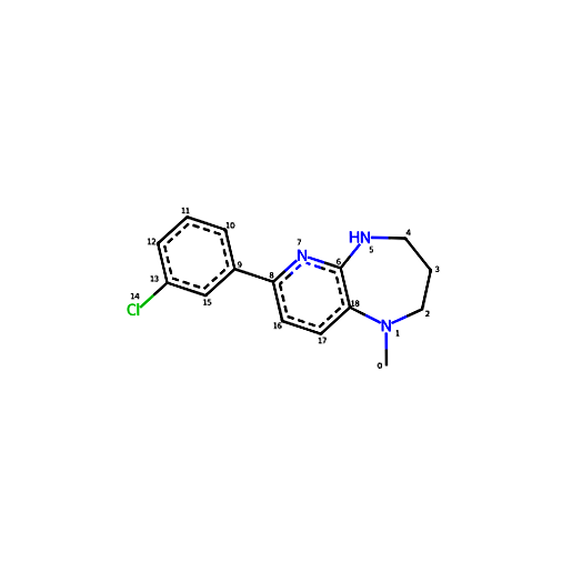 CN1CCCNc2nc(-c3cccc(Cl)c3)ccc21